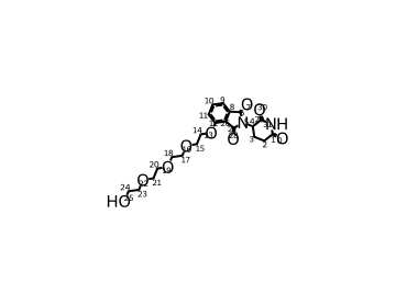 O=C1CCC(N2C(=O)c3cccc(OCCOCCOCCOCCO)c3C2=O)C(=O)N1